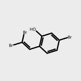 Oc1cc(Br)ccc1C=C(Br)Br